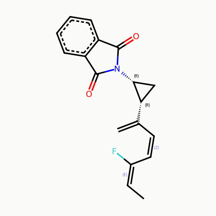 C=C(/C=C\C(F)=C/C)[C@H]1C[C@H]1N1C(=O)c2ccccc2C1=O